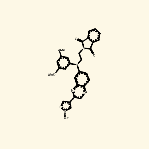 CCCn1cc(-c2cnc3ccc(N(CCN4C(=O)c5ccccc5C4=O)c4cc(OC)cc(OC)c4)cc3n2)cn1